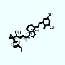 C=C1C(C/C=C2\CCC[C@]3(C)[C@@H]([C@@H](C)/C=C/[C@H](O)C4(c5nc(CC)co5)CC4)CC[C@@H]23)C=C(O)C[C@@H]1O